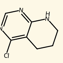 Clc1ncnc2c1CCCN2